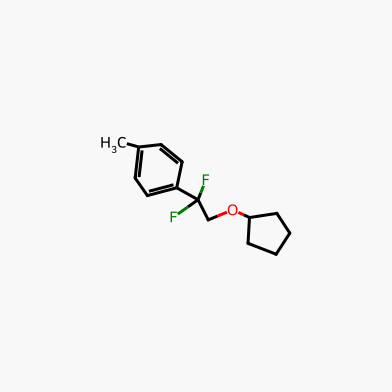 Cc1ccc(C(F)(F)COC2CCCC2)cc1